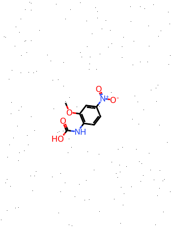 COc1cc([N+](=O)[O-])ccc1NC(=O)O